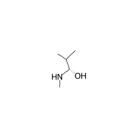 CN[C@@H](O)C(C)C